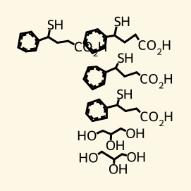 O=C(O)CCC(S)c1ccccc1.O=C(O)CCC(S)c1ccccc1.O=C(O)CCC(S)c1ccccc1.O=C(O)CCC(S)c1ccccc1.OCC(O)CO.OCC(O)CO